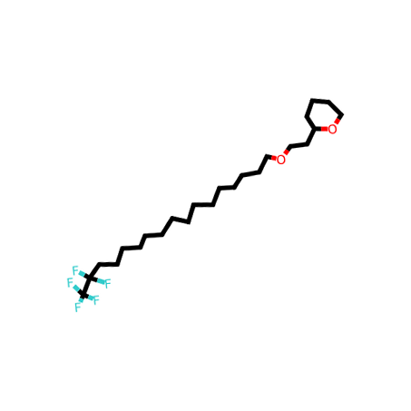 FC(F)(F)C(F)(F)CCCCCCCCCCCCCCCOCCC1CCCCO1